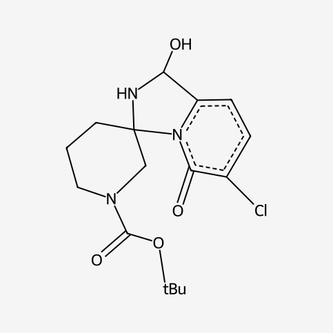 CC(C)(C)OC(=O)N1CCCC2(C1)NC(O)c1ccc(Cl)c(=O)n12